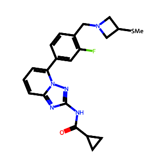 CSC1CN(Cc2ccc(-c3cccc4nc(NC(=O)C5CC5)nn34)cc2F)C1